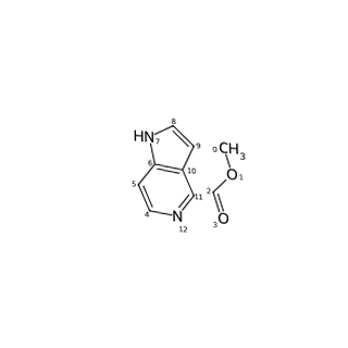 COC=O.c1cc2[nH]ccc2cn1